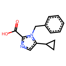 O=C(O)c1ncc(C2CC2)n1Cc1ccccc1